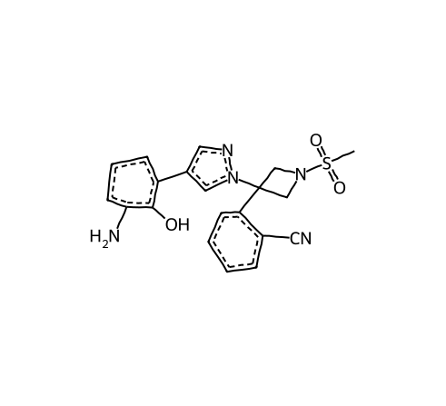 CS(=O)(=O)N1CC(c2ccccc2C#N)(n2cc(-c3cccc(N)c3O)cn2)C1